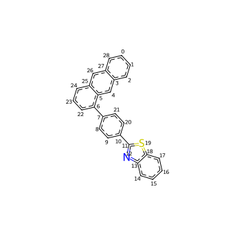 c1ccc2cc3c(-c4ccc(-c5nc6ccccc6s5)cc4)cccc3cc2c1